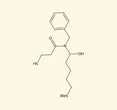 CSCCCCC(O)N(Cc1ccccc1)C(=O)CCS